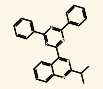 CC(C)c1nc(-c2nc(-c3ccccc3)nc(-c3ccccc3)n2)c2ccccc2n1